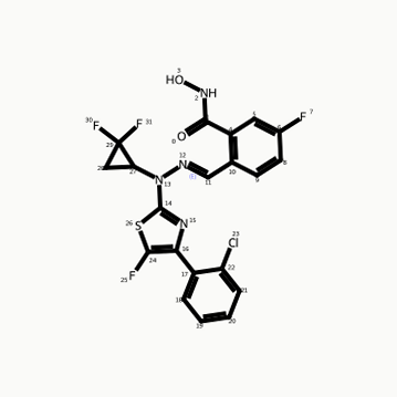 O=C(NO)c1cc(F)ccc1/C=N/N(c1nc(-c2ccccc2Cl)c(F)s1)C1CC1(F)F